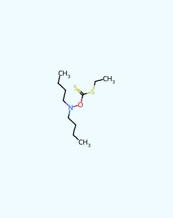 CCCCN(CCCC)OC(=S)SCC